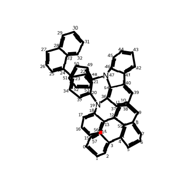 c1ccc(-c2cccc3cccc(-c4ccccc4N(c4ccc(-c5cccc6ccccc56)cc4)c4cccc5c6ccccc6n(-c6ccccc6)c45)c23)cc1